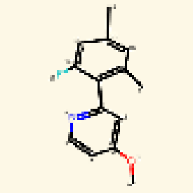 COc1ccnc(-c2c(C)cc(C)cc2F)c1